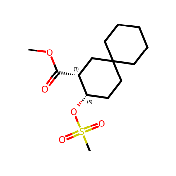 COC(=O)[C@@H]1CC2(CCCCC2)CC[C@@H]1OS(C)(=O)=O